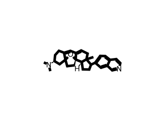 CN(C)[C@@H]1CCC2=CC3=CCC4(C)C(c5ccc6ccncc6c5)CC[C@H]4[C@@]34CCC2(C1)O4